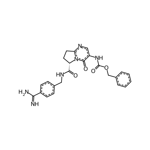 N=C(N)c1ccc(CNC(=O)[C@@H]2CCc3ncc(NC(=O)OCc4ccccc4)c(=O)n32)cc1